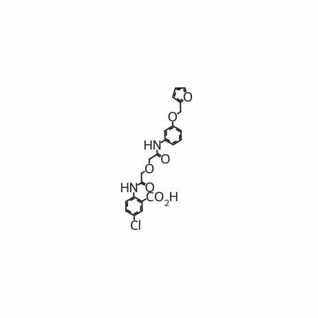 O=C(COCC(=O)Nc1ccc(Cl)cc1C(=O)O)Nc1cccc(OCc2ccco2)c1